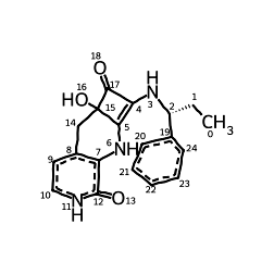 CC[C@@H](NC1=C2Nc3c(cc[nH]c3=O)CC2(O)C1=O)c1ccccc1